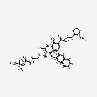 CN1CCCC1CCNC(=O)c1cn2c3c(c(NCCCNC(=O)OC(C)(C)C)c(F)cc3c1=O)Oc1cc3ccccc3cc1-2